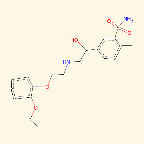 CCOc1ccccc1OCCNCC(O)c1ccc(C)c(S(N)(=O)=O)c1